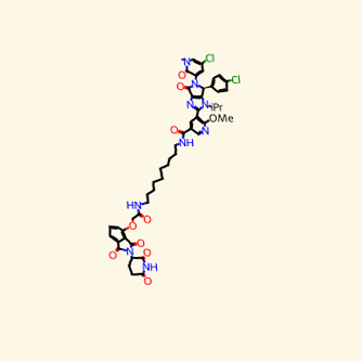 COc1ncc(C(=O)NCCCCCCCCCCNC(=O)COc2cccc3c2C(=O)N(C2CCC(=O)NC2=O)C3=O)cc1-c1nc2c(n1C(C)C)[C@H](c1ccc(Cl)cc1)N(c1cc(Cl)cn(C)c1=O)C2=O